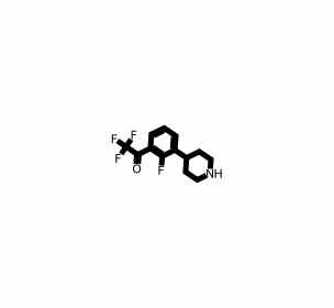 O=C(c1cccc(C2CCNCC2)c1F)C(F)(F)F